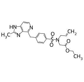 C=CCN(CC(=O)OCC)S(=O)(=O)c1ccc(Cc2nccc3[nH]c(C)nc23)cc1